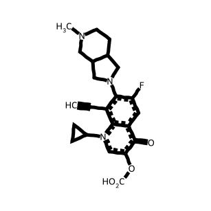 C#Cc1c(N2CC3CCN(C)CC3C2)c(F)cc2c(=O)c(OC(=O)O)cn(C3CC3)c12